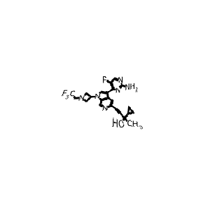 CC(O)(C#Cc1cc2c(-c3nc(N)ncc3F)cn(C3CN(CC(F)(F)F)C3)c2cn1)C1CC1